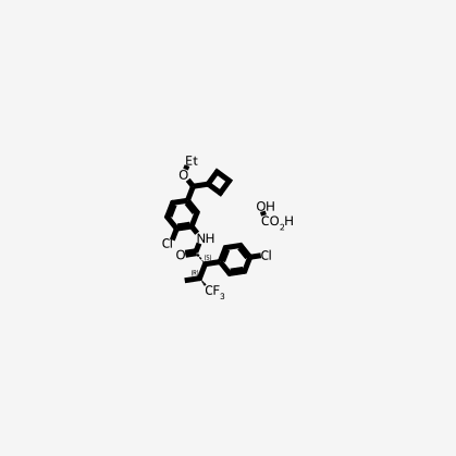 CCOC(c1ccc(Cl)c(NC(=O)[C@H](c2ccc(Cl)cc2)[C@@H](C)C(F)(F)F)c1)C1CCC1.O=C(O)O